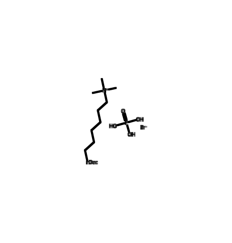 CCCCCCCCCCCCCCCC[N+](C)(C)C.O=P(O)(O)O.[Br-]